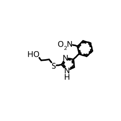 O=[N+]([O-])c1ccccc1-c1c[nH]c(SCCO)n1